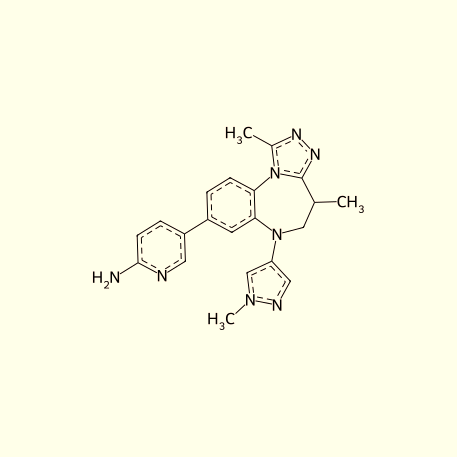 Cc1nnc2n1-c1ccc(-c3ccc(N)nc3)cc1N(c1cnn(C)c1)CC2C